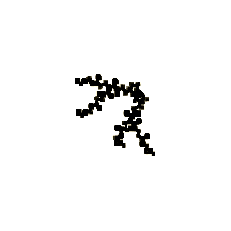 CCOC(=O)CCNC(=O)N(CCC(=O)OCC)C(=O)NCCC1CC2CC1C1C(CCNC(=O)N(CCC(=O)OCC)C(=O)NCCC(=O)OCC)CCC21